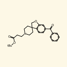 CC(C)(C)OC(=O)CCN1CCC2(CC1)COc1cc(C(=O)c3ccccc3)ccc12